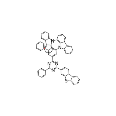 c1ccc(-c2cc(-c3nc(-c4ccccc4)nc(-c4ccc5c(c4)sc4ccccc45)n3)cc(-n3c4ccccc4c4cccc(-n5c6ccccc6c6ccccc65)c43)c2)cc1